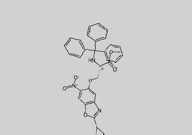 COC(=O)[C@H](COc1cc2nc(C3CC3)oc2cc1[N+](=O)[O-])NC(c1ccccc1)(c1ccccc1)c1ccccc1